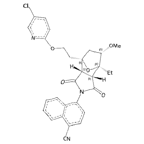 CC[C@]12O[C@](CCOc3ccc(Cl)cn3)(C[C@@H]1OC)[C@H]1C(=O)N(c3ccc(C#N)c4ccccc34)C(=O)[C@H]12